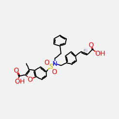 Cc1c(C(=O)O)oc2ccc(S(=O)(=O)N(CCc3ccccc3)Cc3ccc(/C=C/C(=O)O)cc3)cc12